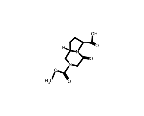 COC(=O)N1CC(=O)N2[C@@H](CC[C@H]2C(=O)O)C1